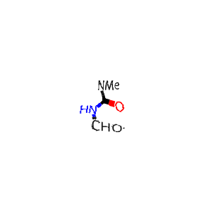 CNC(=O)N[C]=O